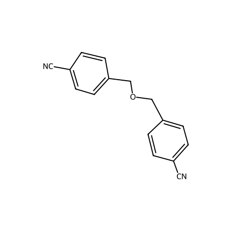 N#Cc1ccc(COCc2ccc(C#N)cc2)cc1